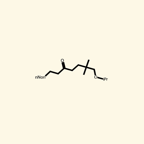 CCCCCCCCCCCC(=O)CCC(C)(C)COC(C)C